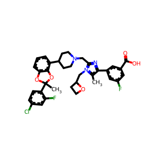 Cc1c(-c2cc(F)cc(C(=O)O)c2)nc(CN2CCC(c3cccc4c3OC(C)(c3ccc(Cl)cc3F)O4)CC2)n1CC1CCO1